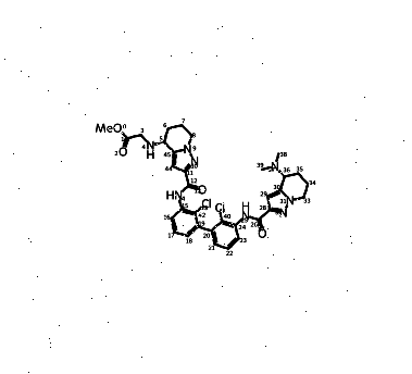 COC(=O)CN[C@H]1CCCn2nc(C(=O)Nc3cccc(-c4cccc(NC(=O)c5cc6n(n5)CCC[C@@H]6N(C)C)c4Cl)c3Cl)cc21